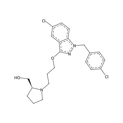 OC[C@@H]1CCCN1CCCOc1nn(Cc2ccc(Cl)cc2)c2ccc(Cl)cc12